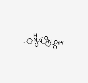 Cc1ccc(NC(=O)N2CCOc3nc(C(=O)OC(C)C)ccc3C2)cc1